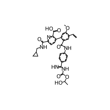 C=Cc1cc(C(=O)Nc2ccc(C(=N)NC(=O)OC(C)O)cc2)c(-c2ccc(C(=O)NCC3CC3)nc2C(=O)O)cc1OC